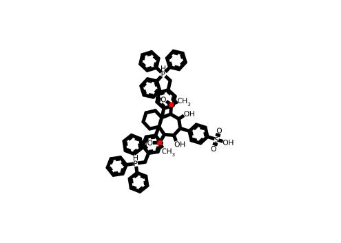 CC(O)C1C(O)C(c2ccc(S(=O)(=O)O)cc2)C(O)C(C(C)O)C2(c3ccc(C[PH](c4ccccc4)(c4ccccc4)c4ccccc4)cc3)CCCCC12c1ccc(C[PH](c2ccccc2)(c2ccccc2)c2ccccc2)cc1